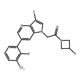 O=C(Cn1cc(F)c2ncc(-c3cccc(C(F)(F)F)c3F)cc21)N1CC(F)C1